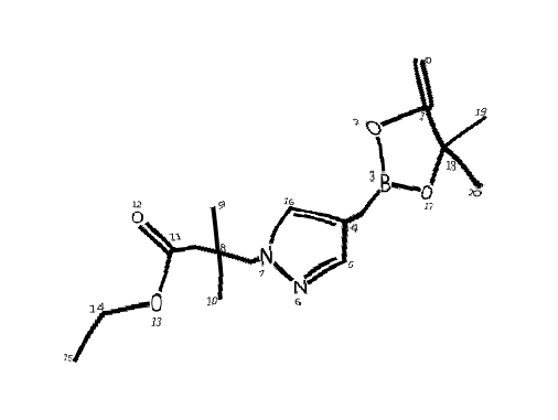 C=C1OB(c2cnn(C(C)(C)C(=O)OCC)c2)OC1(C)C